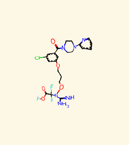 N=C(N)N(OCCCOc1cc(Cl)cc(C(=O)N2CCN(c3ccccn3)CC2)c1)C(F)(F)C(=O)OF